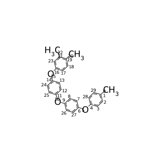 Cc1ccc(Oc2ccc(Oc3ccc(Oc4ccc(C)c(C)c4)cc3)cc2)cc1